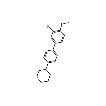 COc1ccc(-c2ccc(C3CC[CH]CC3)cc2)cc1Cl